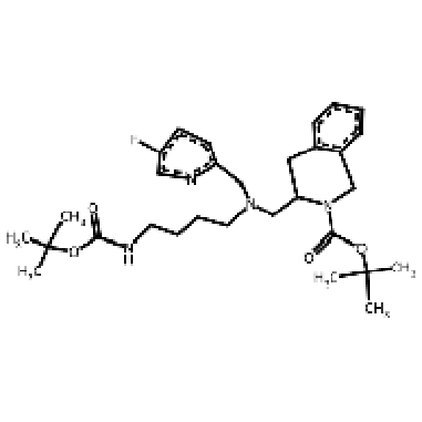 CC(C)(C)OC(=O)NCCCCN(Cc1ccc(F)cn1)CC1Cc2ccccc2CN1C(=O)OC(C)(C)C